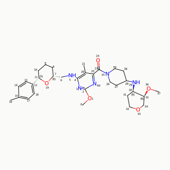 COc1nc(NC[C@H]2CCC[C@@H](c3ccc(C)cc3)O2)c(C)c(C(=O)N2CCC(N[C@@H]3CCOC[C@@H]3OC)CC2)n1